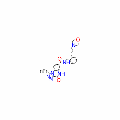 CCCc1nnc2c(=O)[nH]c3cc(C(=O)NCc4ccccc4CCCN4CCOCC4)ccc3n12